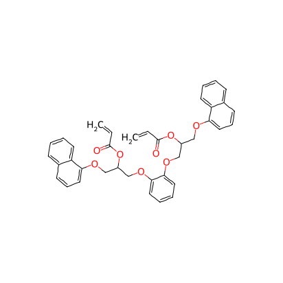 C=CC(=O)OC(COc1ccccc1OCC(COc1cccc2ccccc12)OC(=O)C=C)COc1cccc2ccccc12